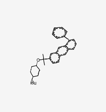 CCC(C)C1CCC(OC(C)(C)c2ccc3cc4cccc(-c5ccccc5)c4cc3c2)CC1